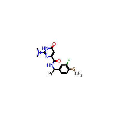 CC(C)C(NC(=O)c1cc(=O)[nH]c(N(C)C)n1)c1ccc(SC(F)(F)F)c(F)c1